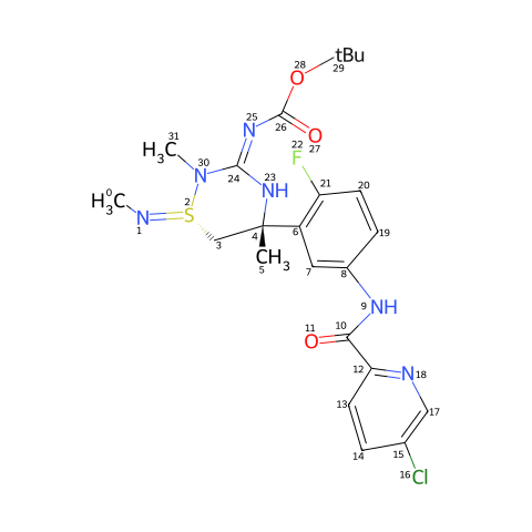 C/N=[S@]1/C[C@@](C)(c2cc(NC(=O)c3ccc(Cl)cn3)ccc2F)N/C(=N\C(=O)OC(C)(C)C)N1C